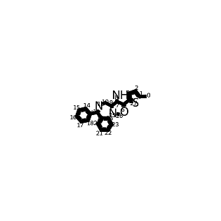 Cc1ccc(C(=O)C(N)C2CN=C(c3ccccc3)c3ccccc3N2C)s1